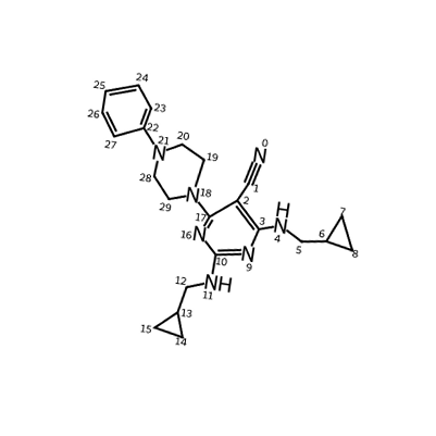 N#Cc1c(NCC2CC2)nc(NCC2CC2)nc1N1CCN(c2ccccc2)CC1